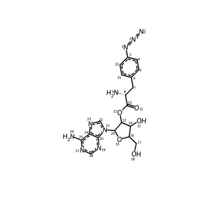 [N-]=[N+]=Nc1ccc(C[C@@H](N)C(=O)OC2C(O)C(CO)OC2n2cnc3c(N)ncnc32)cc1